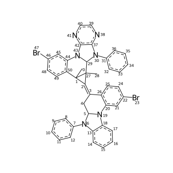 CC12/C(=C3\CC4N(c5ccccc5)c5ccccc5N4c4cc(Br)ccc43)C1(C)C1N(c3ccccc3)c3nccnc3N1c1cc(Br)ccc12